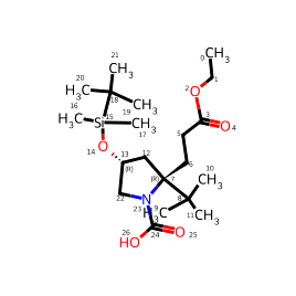 CCOC(=O)CC[C@]1(C(C)(C)C)C[C@@H](O[Si](C)(C)C(C)(C)C)CN1C(=O)O